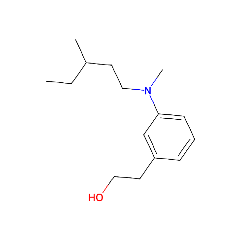 CCC(C)CCN(C)c1cccc(CCO)c1